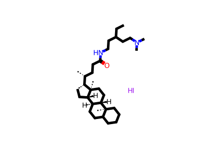 CCC(CCNC(=O)CC[C@@H](C)[C@H]1CC[C@H]2[C@@H]3CCC4CCCC[C@]4(C)[C@H]3CC[C@]12C)CCN(C)C.I